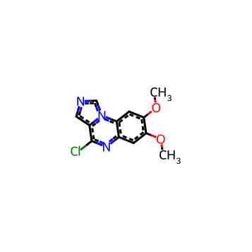 COc1cc2nc(Cl)c3cncn3c2cc1OC